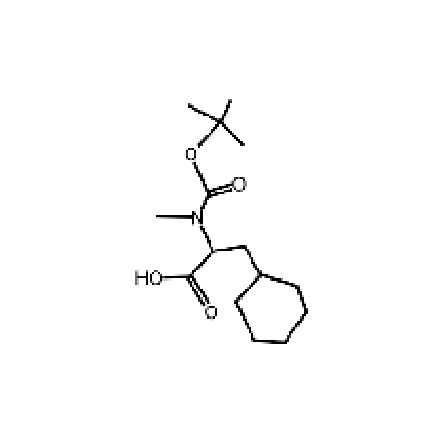 CN(C(=O)OC(C)(C)C)C(CC1CCCCC1)C(=O)O